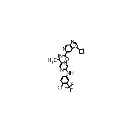 CC(NC(=O)c1cc2c(cn1)ncn2C1CCC1)c1cnc(Nc2ccc(Cl)c(C(F)(F)F)c2)cn1